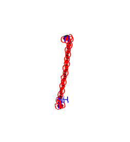 O=C(CCN1C(=O)C=CC1=O)NCCOCCOCCOCCOCCOCCOCCOCCOCCOCCOCCOCCOCCC(=O)ON1C(=O)CCC1=O